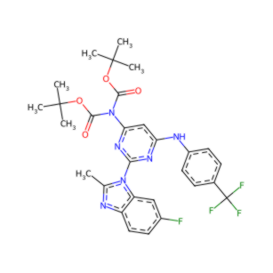 Cc1nc2ccc(F)cc2n1-c1nc(Nc2ccc(C(F)(F)F)cc2)cc(N(C(=O)OC(C)(C)C)C(=O)OC(C)(C)C)n1